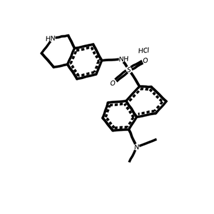 CN(C)c1cccc2c(S(=O)(=O)Nc3ccc4c(c3)CNCC4)cccc12.Cl